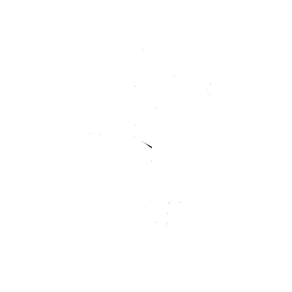 CC(O)[C@H](CCO[Si](C)(C)C(C)(C)C)O[Si](c1ccccc1)(c1ccccc1)C(C)(C)C